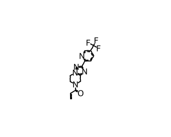 C=CC(=O)N1CCn2nc(-c3ccc(C(F)(F)F)cn3)nc2C1